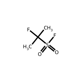 CC(C)(F)S(=O)(=O)F